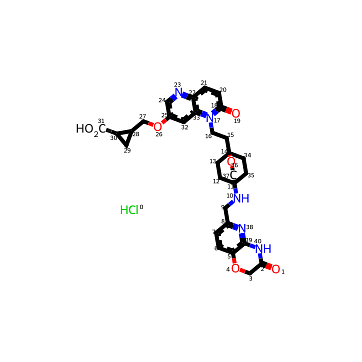 Cl.O=C1COc2ccc(CNC34CCC(CCn5c(=O)ccc6ncc(OCC7CC7C(=O)O)cc65)(CC3)OC4)nc2N1